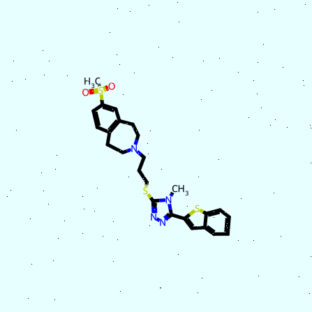 Cn1c(SCCCN2CCc3ccc(S(C)(=O)=O)cc3CC2)nnc1-c1cc2ccccc2s1